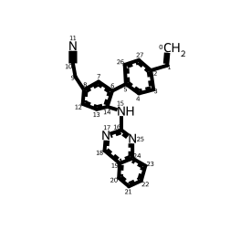 C=Cc1ccc(-c2cc(CC#N)ccc2Nc2ncc3ccccc3n2)cc1